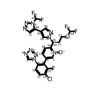 [O-][n+]1cc(-c2c(-n3cnnn3)ccc(Cl)c2F)ccc1[C@H](CCOC(F)F)n1cc(-c2cnnn2C(F)F)cn1